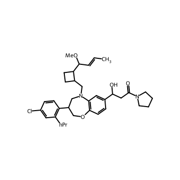 C/C=C/C(OC)C1CCC1CN1CC(c2ccc(Cl)cc2CCC)COc2ccc(C(O)CC(=O)N3CCCC3)cc21